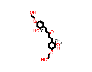 CC1(O)C=C(OCCO)C=CC1CCC(=O)CCC1C=CC(OCCO)=CC1(C)O